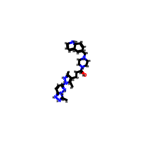 Cc1nn(-c2ccc3nnc(C)n3n2)c(C)c1CCC(=O)N1CCN(Cc2ccc3ncccc3c2)CC1